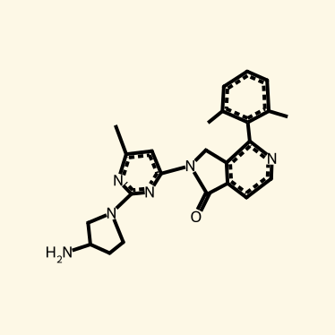 Cc1cc(N2Cc3c(ccnc3-c3c(C)cccc3C)C2=O)nc(N2CCC(N)C2)n1